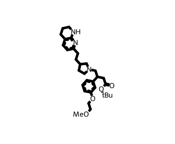 COCCOc1cccc(C(CC(=O)OC(C)(C)C)CN2CCC(CCc3ccc4c(n3)NCCC4)C2)c1